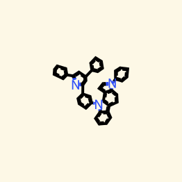 c1ccc(-c2cc(-c3ccccc3)nc(-c3cccc(-n4c5ccccc5c5ccc6c(ccn6-c6ccccc6)c54)c3)c2)cc1